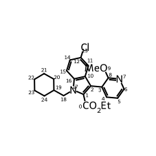 CCOC(=O)c1c(-c2cccnc2OC)c2cc(Cl)ccc2n1CC1CCCCC1